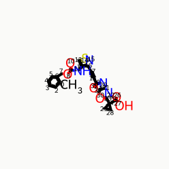 Cc1ccccc1COC(=O)Nc1csnc1C#Cc1nc2nc(C3(C(=O)O)CC3)oc2o1